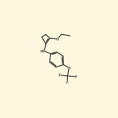 CCOC1=C(Nc2ccc(OC(F)(F)F)cc2)CC1